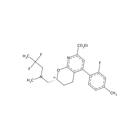 CCOC(=O)c1cc(-c2ccc(C)cc2F)c2c(n1)O[C@@H](CN(C)CC(C)(F)F)CC2